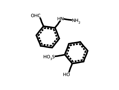 NNc1ccccc1C=O.O=S(=O)(O)c1ccccc1O